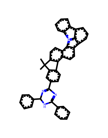 CC1(C)c2cc(C3=NC(c4ccccc4)NC(c4ccccc4)=N3)ccc2-c2c1ccc1c2ccc2c3cccc4c5ccccc5n(c12)c43